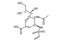 C=CS(=O)(=O)N[C@H]1C=C(C(=O)O)O[C@@H]([C@H](O)[C@H](O)CO)[C@@H]1NC(C)=O